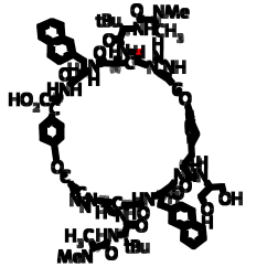 CN[C@@H](C)C(=O)N[C@H](C(=O)N1C[C@@H]2C[C@H]1C(=O)N[C@@H](Cc1ccc3ccccc3c1)C(=O)N[C@H](C(=O)O)Cc1ccc(cc1)OCc1cn(nn1)[C@H]1C[C@@H](C(=O)N[C@@H](Cc3ccc4ccccc4c3)C(=O)N[C@H](C(=O)NC(CO)CO)Cc3ccc(cc3)OCC3=CN2NN3)N(C(=O)[C@@H](NC(=O)[C@H](C)NC)C(C)(C)C)C1)C(C)(C)C